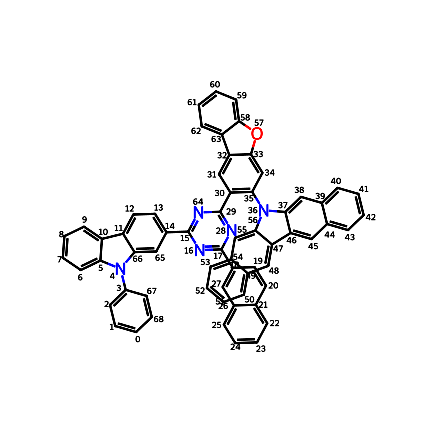 c1ccc(-n2c3ccccc3c3ccc(-c4nc(-c5ccc6ccccc6c5)nc(-c5cc6c(cc5-n5c7cc8ccccc8cc7c7cc8ccccc8cc75)oc5ccccc56)n4)cc32)cc1